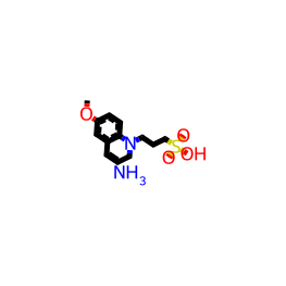 COc1ccc2c(c1)C=CCN2CCCS(=O)(=O)O.N